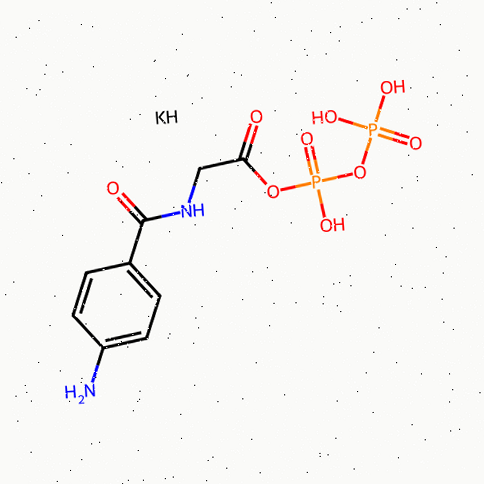 Nc1ccc(C(=O)NCC(=O)OP(=O)(O)OP(=O)(O)O)cc1.[KH]